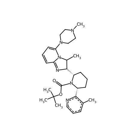 Cc1cccnc1[C@H]1CCC[C@@H](C2N=C3C=CC=C(N4CCN(C)CC4)N3C2C)N1C(=O)OC(C)(C)C